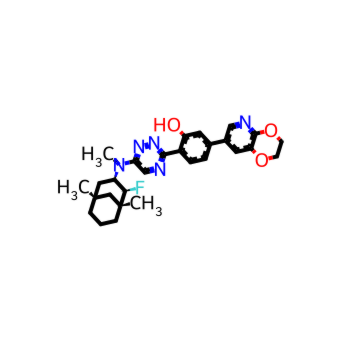 CN(c1cnc(-c2ccc(-c3cnc4c(c3)OCCO4)cc2O)nn1)[C@@H]1C[C@@]2(C)CCC[C@](C)(C2)[C@@H]1F